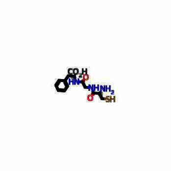 N[C@@H](CS)C(=O)NCC(=O)N[C@@H](Cc1ccccc1)C(=O)O